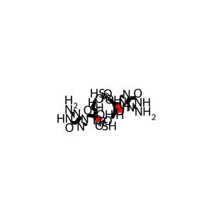 Nc1nc2c(ncn2[C@@H]2O[C@@H]3COP(=O)(S)O[C@@H]4[C@H](O)[C@@H](COP(=O)(S)O[C@@H]2[C@@H]3O)O[C@H]4n2cnc3c(=O)[nH]c(N)nc32)c(=O)[nH]1